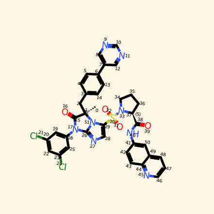 C[C@@]1(Cc2ccc(-c3cncnc3)cc2)C(=O)N(c2cc(Cl)cc(Cl)c2)c2ncc(S(=O)(=O)N3CCC[C@H]3C(=O)Nc3ccc4ncccc4c3)n21